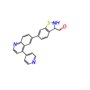 O=CC1NSc2cc(-c3ccc4nccc(-c5ccncc5)c4c3)ccc21